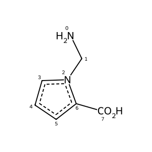 NCn1cccc1C(=O)O